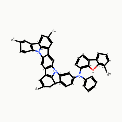 CC(C)C1=Cc2c3n(c4cc5c6cc(C(C)(C)C)cc7c8cc(C(C)(C)C)ccc8n(c5cc24)c76)-c2cc(N(c4ccccc4)c4cccc5c4oc4c(C(C)(C)C)cccc45)ccc2C3C1